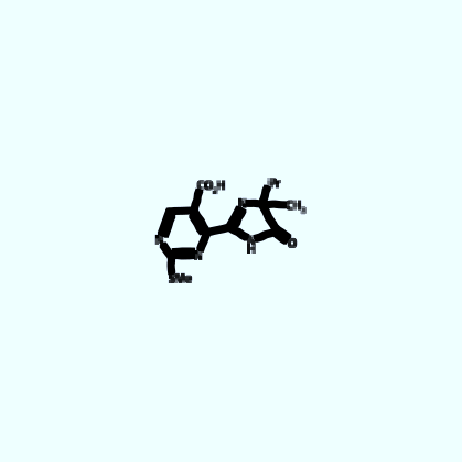 CSc1ncc(C(=O)O)c(C2=NC(C)(C(C)C)C(=O)N2)n1